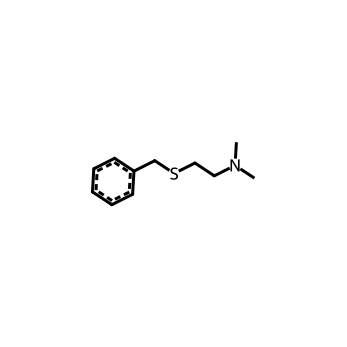 CN(C)CCSCc1ccccc1